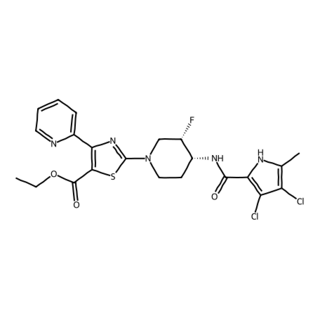 CCOC(=O)c1sc(N2CC[C@@H](NC(=O)c3[nH]c(C)c(Cl)c3Cl)[C@@H](F)C2)nc1-c1ccccn1